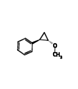 CO[C@H]1C[C@@H]1c1ccccc1